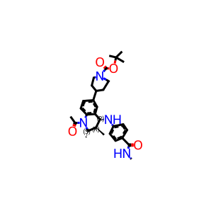 CNC(=O)c1ccc(N[C@H]2c3cc(C4CCN(C(=O)OC(C)(C)C)CC4)ccc3N(C(C)=O)[C@@H](C)[C@@H]2C)cc1